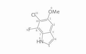 COc1cc2cc[nH]c2c(F)c1Cl